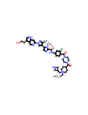 Cn1c(-c2cn(-c3cc4[nH]cc(CCO)c4cn3)nc2C(F)(F)F)cnc1C(=O)Nc1ccc(C(=O)N2CCN(C(=O)C3CC[N+](CC(=O)O)(CC4CNC4)CC3)CC2)c(Cl)c1